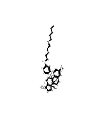 CCCCCSCCCCCOc1ccc([C@H]2C[C@]3(C)[C@@H](O)CC[C@H]3[C@@H]3CCc4cc(O)ccc4[C@H]32)cc1